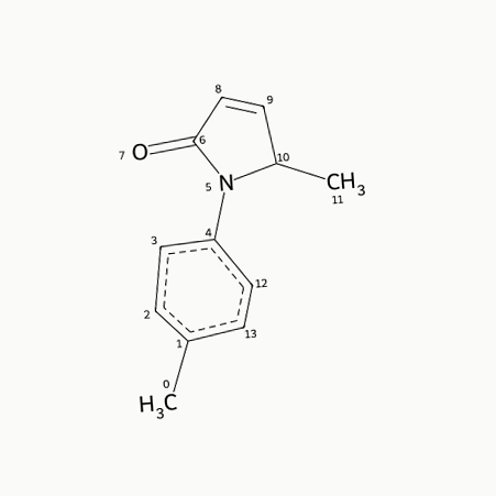 Cc1ccc(N2C(=O)C=CC2C)cc1